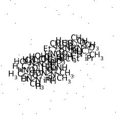 CC/C(C)=C(\NC(=O)[C@@H](NC(=O)C(C)(C)C(=O)C(C)CC(C)C)[C@@H](C)C(C)O)C(=O)N[C@@H](C)C(=O)N/C(C(=O)N[C@H](C(=O)N[C@H](C(=O)N[C@H](C(=O)N[C@H](C(=O)N/C(C(=O)N[C@@H](C)C(=O)N[C@H](C(=O)N[C@H](C(=O)NC(C(=O)N[C@H](CN(C)C)C(C)C)=C(C)C)C(C)C)C(C)C)=C(\C)CC)C(C)(C)O)C(C)(C)O)[C@@H](C)CC)C(C)C)=C(\C)CC